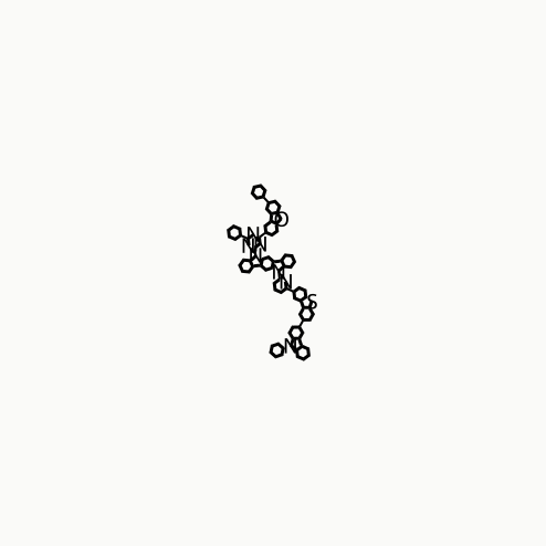 c1ccc(-c2ccc3oc4ccc(-c5nc(-c6ccccc6)nc(-n6c7ccccc7c7cc8c(cc76)c6ccccc6n8-c6cccc(-c7ccc8sc9ccc(-c%10ccc%11c(c%10)c%10ccccc%10n%11-c%10ccccc%10)cc9c8c7)n6)n5)cc4c3c2)cc1